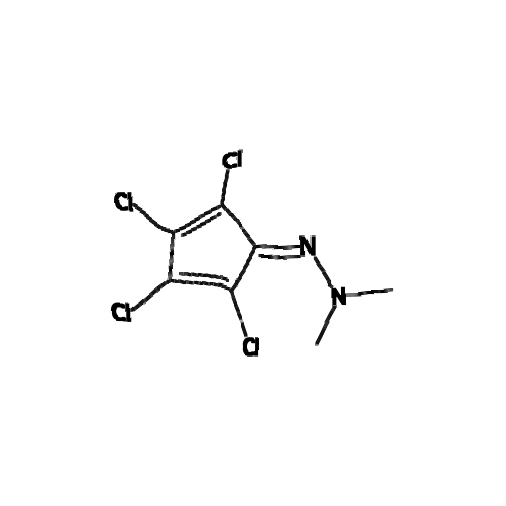 CN(C)N=C1C(Cl)=C(Cl)C(Cl)=C1Cl